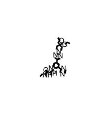 C=CCC1(C(=O)OCC)CCN(c2ncc(-c3cc(-c4cnccn4)c4sc(NC(=O)NCC)nc4c3)cn2)CC1